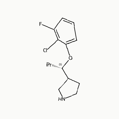 CC(C)[C@H](Oc1cccc(F)c1Cl)C1CCNC1